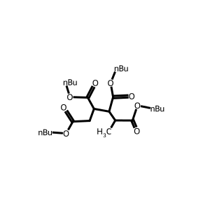 CCCCOC(=O)CC(C(=O)OCCCC)C(C(=O)OCCCC)C(C)C(=O)OCCCC